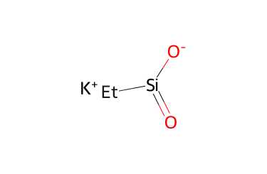 CC[Si](=O)[O-].[K+]